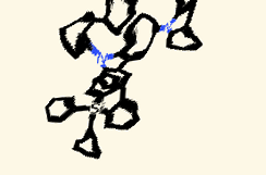 c1ccc(-c2ccccc2-n2c3ccc(-c4ccccc4[Si](c4ccccc4)(c4ccccc4)c4ccccc4)cc3c3cc(-n4c5ccccc5c5ccccc54)ccc32)cc1